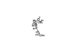 CCN(C(=O)c1cc(F)ccc1Oc1nncnc1N1CCC2(C1)CN([C@H](CCCNC[C@@H](O)COC)C(C)C)C2)C(C)C.O=CO